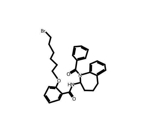 O=C(NC1CCCc2ccccc2N1C(=O)c1ccccc1)c1ccccc1OCCCCCCBr